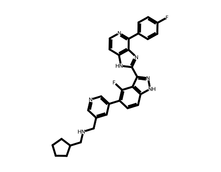 Fc1ccc(-c2nccc3[nH]c(-c4n[nH]c5ccc(-c6cncc(CNCC7CCCC7)c6)c(F)c45)nc23)cc1